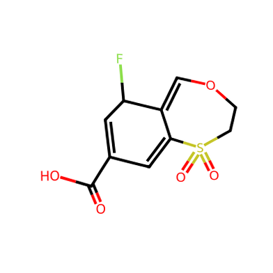 O=C(O)C1=CC(F)C2=COCCS(=O)(=O)C2=C1